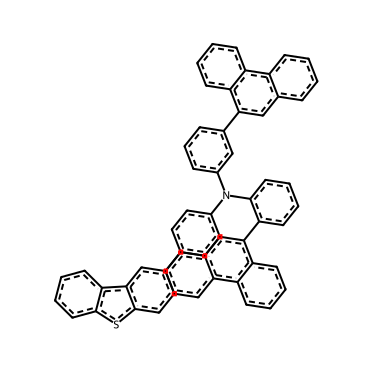 c1cc(-c2cc3ccccc3c3ccccc23)cc(N(c2ccc(-c3ccc4sc5ccccc5c4c3)cc2)c2ccccc2-c2cc3ccccc3c3ccccc23)c1